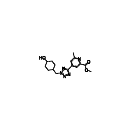 COC(=O)c1cc(-c2nnn(CC3CCC(O)CC3)n2)cc(C)n1